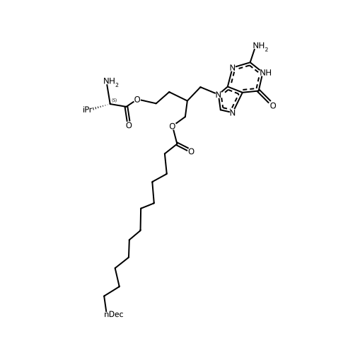 CCCCCCCCCCCCCCCCCCCCCC(=O)OCC(CCOC(=O)[C@@H](N)C(C)C)Cn1cnc2c(=O)[nH]c(N)nc21